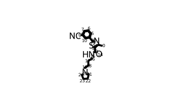 Cc1nc(-c2cccc(C#N)c2)sc1C(=O)NCCCCN1CCCC1